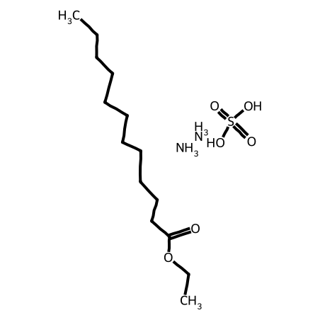 CCCCCCCCCCCC(=O)OCC.N.N.O=S(=O)(O)O